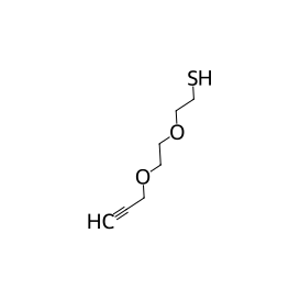 C#CCOCCOCCS